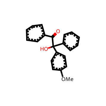 COc1ccc(C(O)(C(=O)c2ccccc2)c2ccccc2)cc1